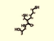 CC(O)CNC(=O)C(CS)CCCCS